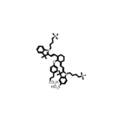 CC1(C)C(/C=C/C2=C(Oc3ccc(CCC(=O)O)cc3)C(=C/C=C3/N(CCCC[N+](C)(C)C)c4ccc(S(=O)(=O)O)cc4C3(C)C)/CCC2)=[N+](CCCC[N+](C)(C)C)c2ccccc21